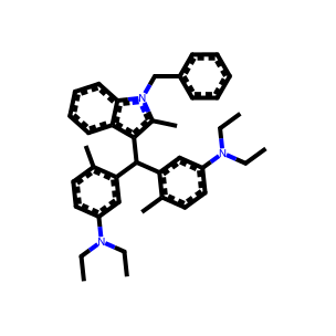 CCN(CC)c1ccc(C)c(C(c2cc(N(CC)CC)ccc2C)c2c(C)n(Cc3ccccc3)c3ccccc23)c1